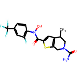 CC1CN(C(N)=O)Cc2sc(C(=O)N(O)c3ccc(C(F)(F)F)cc3F)cc21